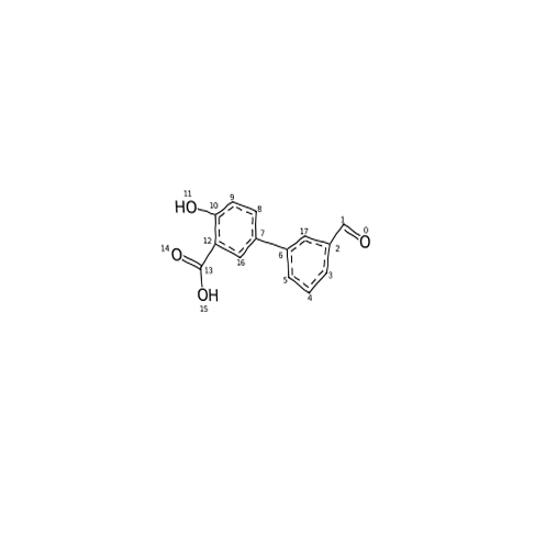 O=Cc1cccc(-c2ccc(O)c(C(=O)O)c2)c1